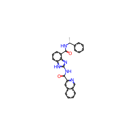 C[C@@H](NC(=O)c1cccc2[nH]c(NC(=O)c3cc4ccccc4cn3)nc12)c1ccccc1